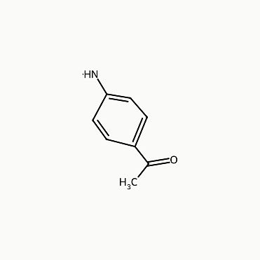 CC(=O)c1ccc([NH])cc1